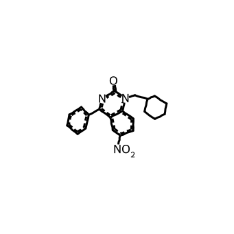 O=c1nc(-c2ccccc2)c2cc([N+](=O)[O-])ccc2n1CC1CCCCC1